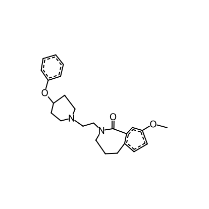 COc1ccc2c(c1)C(=O)N(CCN1CCC(Oc3ccccc3)CC1)CCC2